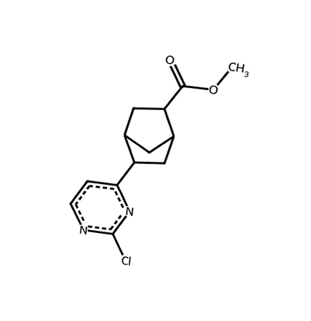 COC(=O)C1CC2CC1CC2c1ccnc(Cl)n1